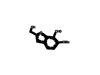 COc1ccc2cc(CO)oc2c1C=O